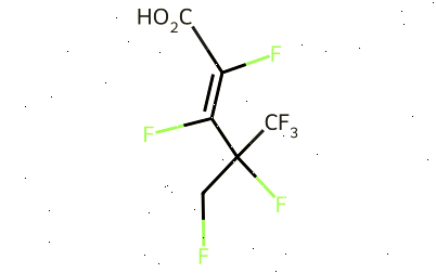 O=C(O)C(F)=C(F)C(F)(CF)C(F)(F)F